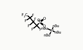 CCCC[P+](CCCC)(CCCC)CCCC.O=S(=O)([O-])C(F)(F)C(F)(F)C(F)(F)C(F)(F)F